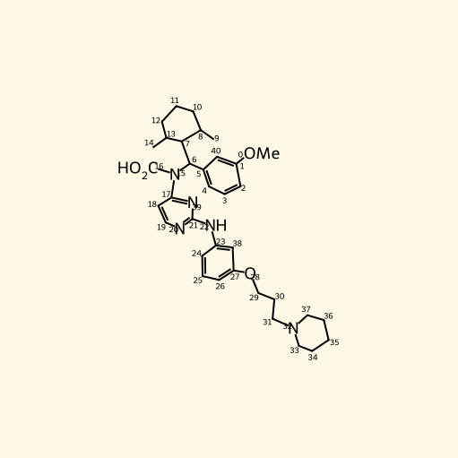 COc1cccc(C(C2C(C)CCCC2C)N(C(=O)O)c2ccnc(Nc3cccc(OCCCN4CCCCC4)c3)n2)c1